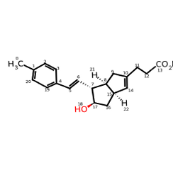 Cc1ccc(/C=C/[C@@H]2[C@H]3CC(CCC(=O)O)=C[C@H]3C[C@H]2O)cc1